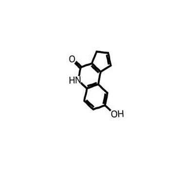 O=c1[nH]c2ccc(O)cc2c2c1CC=C2